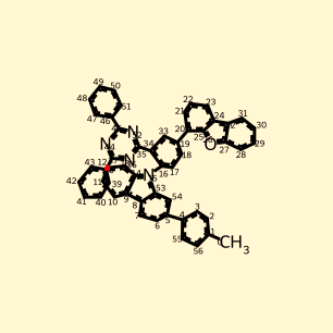 Cc1ccc(-c2ccc3c4ccccc4n(-c4ccc(-c5cccc6c5oc5ccccc56)cc4-c4nc(-c5ccccc5)nc(-c5ccccc5)n4)c3c2)cc1